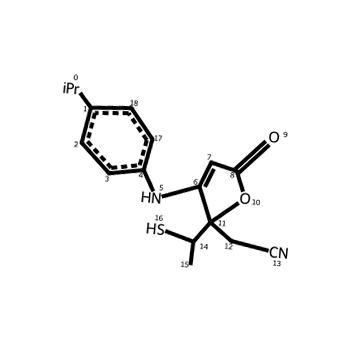 CC(C)c1ccc(NC2=CC(=O)OC2(CC#N)C(C)S)cc1